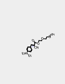 CCCOCCOCCOC(=O)/C(C#N)=C/c1ccc(N(CC)CC)cc1